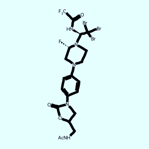 CC(=O)NCC1CN(c2ccc(N3CCN([C@@H](NC(=O)C(F)(F)F)C(Br)(Br)Br)[C@@H](F)C3)cc2)C(=O)O1